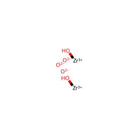 [O-2].[O-2].[O-2].[OH][Zr+3].[OH][Zr+3]